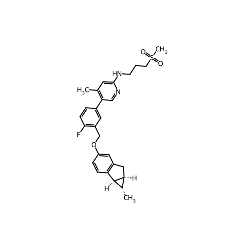 Cc1cc(NCCCS(C)(=O)=O)ncc1-c1ccc(F)c(COc2ccc3c(c2)C[C@H]2[C@H](C)[C@@H]32)c1